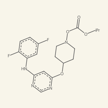 CC(C)OC(=O)ON1CCC(Oc2cc(Nc3cc(F)ccc3F)ncn2)CC1